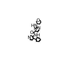 O=C(Nc1cnccc1-c1ccccc1)c1ccnc(NC2CCCOC2)n1